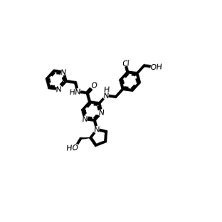 O=C(NCc1ncccn1)c1cnc(N2CCC[C@H]2CO)nc1NCc1ccc(CO)c(Cl)c1